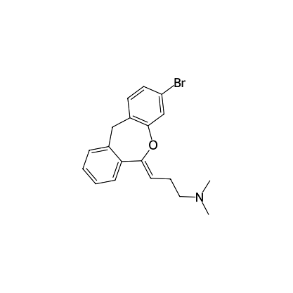 CN(C)CCC=C1Oc2cc(Br)ccc2Cc2ccccc21